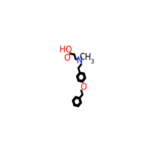 CN(CCC(=O)O)CCc1ccc(OCCc2ccccc2)cc1